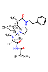 CC[C@H](C)[C@]([C@@H](CC=O)OC)(N(C)[C@H](C(=O)NC(=O)[C@@H](NC)C(C)C)C(C)C)N1CCC[C@H]1[C@H](OC)[C@@H](C)C(=O)NCCc1ccccc1